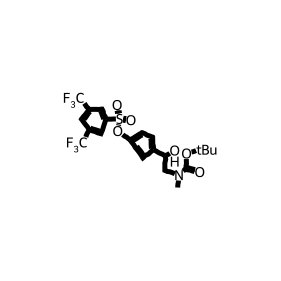 CN(CC(O)c1ccc(OS(=O)(=O)c2cc(C(F)(F)F)cc(C(F)(F)F)c2)cc1)C(=O)OC(C)(C)C